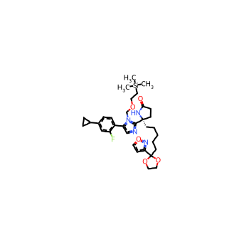 C[Si](C)(C)CCOCn1c(-c2ccc(C3CC3)cc2F)cnc1[C@]1(CCCCCC2(c3ccon3)OCCO2)CCC(=O)N1